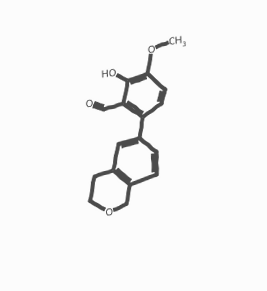 COc1ccc(-c2ccc3c(c2)CCOC3)c(C=O)c1O